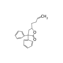 C=CCCC1CC(c2ccccc2)(c2ccccc2)C(=O)O1